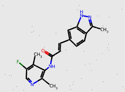 Cc1ncc(F)c(C)c1NC(=O)/C=C/c1ccc2c(C)n[nH]c2c1